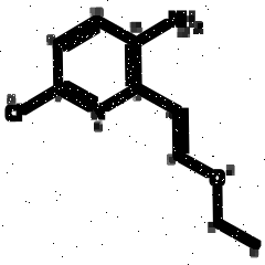 CCOC=Cc1nc(Cl)ccc1N